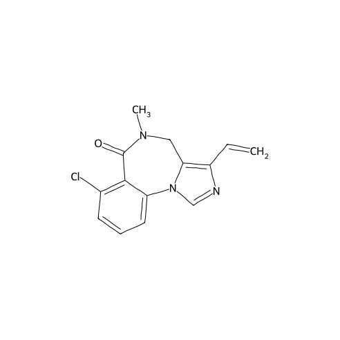 C=Cc1ncn2c1CN(C)C(=O)c1c(Cl)cccc1-2